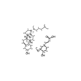 CC(C)CCCC(C)[C@H]1CC[C@H]2[C@@H]3CC=C4C[C@@H](O)CC[C@]4(C)[C@H]3CC[C@]12C.COc1cc(C=CC(=O)O)ccc1O